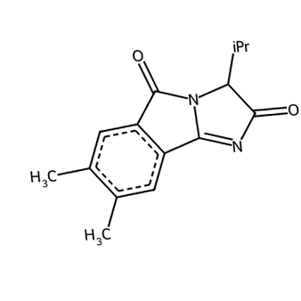 Cc1cc2c(cc1C)C1=NC(=O)C(C(C)C)N1C2=O